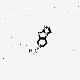 CN1CCc2c(sc3nccn23)C1